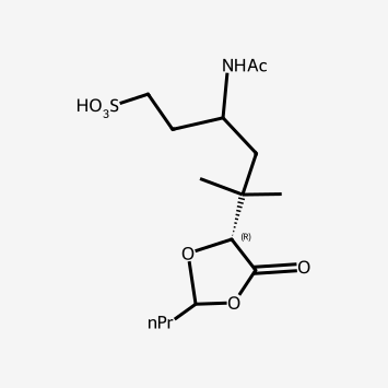 CCCC1OC(=O)[C@@H](C(C)(C)CC(CCS(=O)(=O)O)NC(C)=O)O1